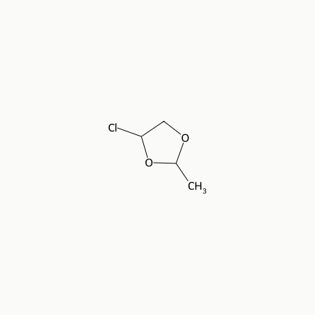 CC1OCC(Cl)O1